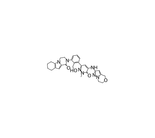 Cn1nc(-c2cccc(N3CCn4c(cc5c4CCCC5)C3=O)c2CO)cc(Nc2cc3n(n2)CCOC3)c1=O